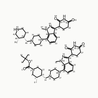 C[C@@H]1CN(C(=O)OC(C)(C)C)CC[C@@H]1CN1CCN(c2cccc3c(C4CCC(=O)NC4=O)nn(C)c23)CC1.C[C@@H]1CNCC[C@@H]1CN1CCN(c2cccc3c(C4CCC(=O)NC4=O)nn(C)c23)CC1